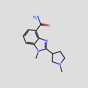 CN1CCC(c2nc3c(C(N)=O)cccc3n2C)C1